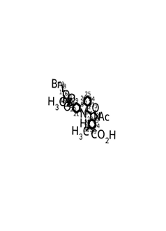 CC(=O)N1C(=O)/C(=C(/Nc2ccc(S(=O)(=O)N(C)OCCBr)cc2)c2ccccc2)c2cc(C)c(C(=O)O)cc21